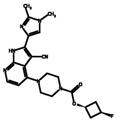 Cc1nc(-c2[nH]c3nccc(N4CCN(C(=O)O[C@H]5C[C@H](F)C5)CC4)c3c2C#N)cn1C